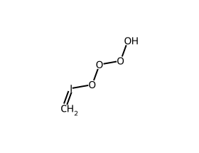 C=IOOOO